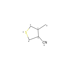 CC1CSCC1C#N